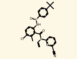 C=CN(C(=O)c1c(N[S+]([O-])c2ccc(C(C)(C)C)cc2)ccc(Cl)c1C)c1cccc(C#N)n1